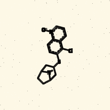 CN1C2CCC1CC(Sc1ccc3c(ccc[n+]3[O-])c1Cl)C2